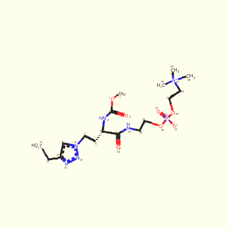 CC(C)(C)OC(=O)N[C@@H](CCn1cc(CC(=O)O)nn1)C(=O)NCCOP(=O)([O-])OCC[N+](C)(C)C